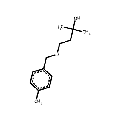 Cc1ccc(COCCC(C)(C)O)cc1